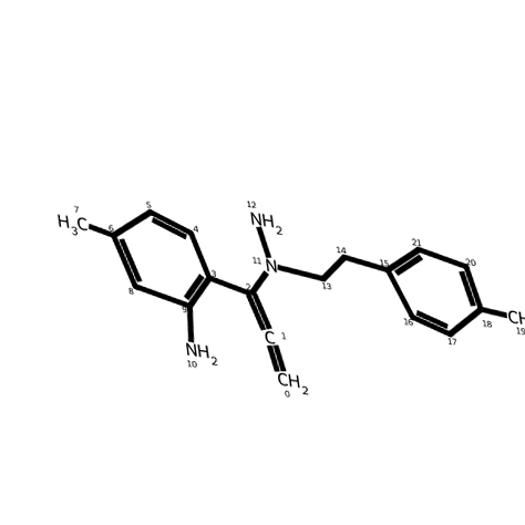 C=C=C(c1ccc(C)cc1N)N(N)CCc1ccc(C)cc1